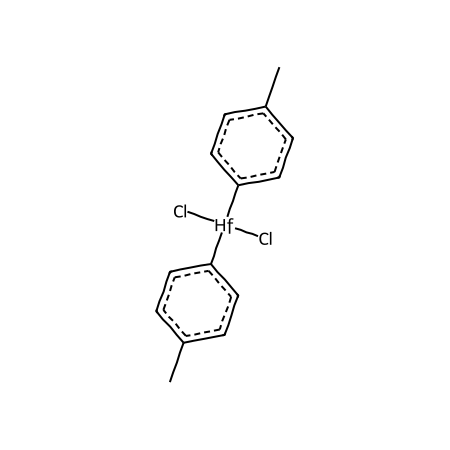 Cc1cc[c]([Hf]([Cl])([Cl])[c]2ccc(C)cc2)cc1